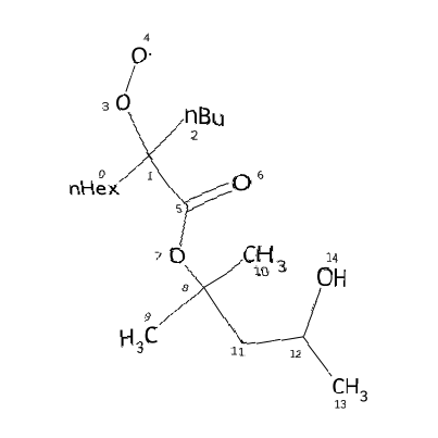 CCCCCCC(CCCC)(O[O])C(=O)OC(C)(C)CC(C)O